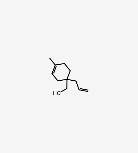 C=CCC1(CO)CC=C(C)CC1